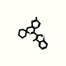 Cc1ccc2c(c1)CC1(CCCCC1)N=C2c1cnc2ccccc2c1C